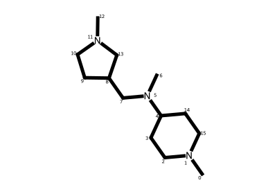 CN1CCC(N(C)CC2CCN(C)C2)CC1